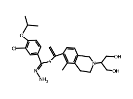 C=C(S/C(=N\N)c1ccc(OC(C)C)c(Cl)c1)c1ccc2c(c1C)CCN(C(CO)CO)C2